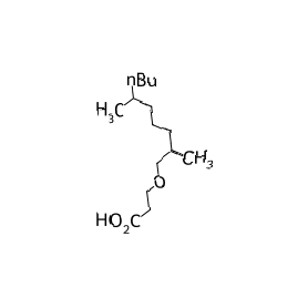 CCCCC(C)CCCC(C)COCCC(=O)O